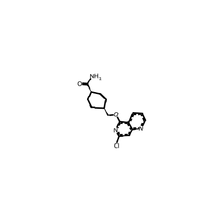 NC(=O)[C@H]1CC[C@@H](COc2nc(Cl)cc3ncccc23)CC1